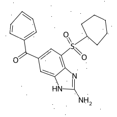 Nc1nc2c(S(=O)(=O)C3CCCCC3)cc(C(=O)c3ccccc3)cc2[nH]1